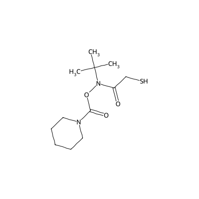 CC(C)(C)N(OC(=O)N1CCCCC1)C(=O)CS